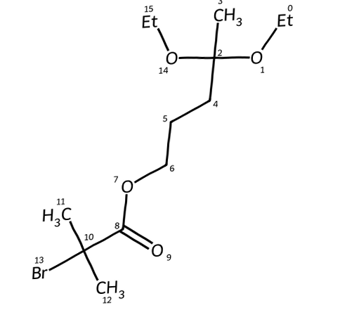 CCOC(C)(CCCOC(=O)C(C)(C)Br)OCC